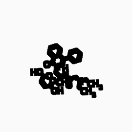 CCN(CC)CC(=O)NC(C)Cn1cc(-c2ccccc2)c2ccccc2c1=O.O=C(O)/C=C\C(=O)O